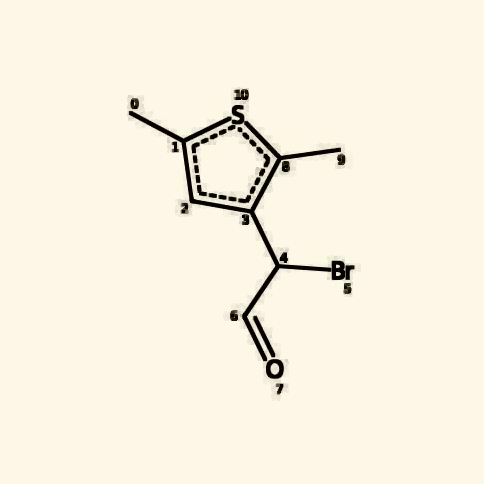 Cc1cc(C(Br)C=O)c(C)s1